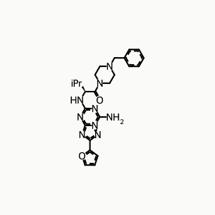 CC(C)[C@H](Nc1nc(N)n2nc(-c3ccco3)nc2n1)C(=O)N1CCN(Cc2ccccc2)CC1